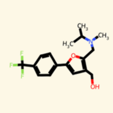 CC(C)N(C)Cc1oc(-c2ccc(C(F)(F)F)cc2)cc1CO